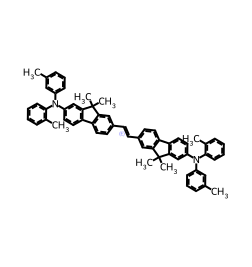 Cc1cccc(N(c2ccc3c(c2)C(C)(C)c2cc(/C=C/c4ccc5c(c4)C(C)(C)c4cc(N(c6cccc(C)c6)c6ccccc6C)ccc4-5)ccc2-3)c2ccccc2C)c1